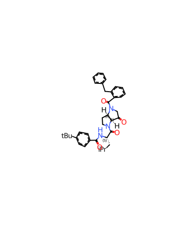 CC(C)C[C@H](NC(=O)c1ccc(C(C)(C)C)cc1)C(=O)N1CC[C@@H]2[C@H]1C(=O)CN2C(=O)c1ccccc1Cc1ccccc1